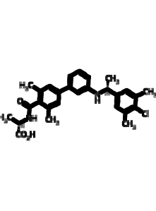 Cc1cc([C@@H](C)Nc2cccc(-c3cc(C)c(C(=O)N[C@@H](C)C(=O)O)c(C)c3)c2)cc(C)c1Cl